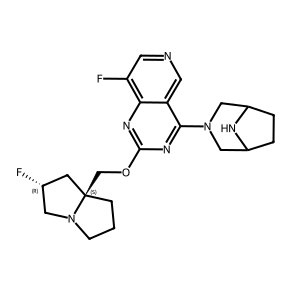 Fc1cncc2c(N3CC4CCC(C3)N4)nc(OC[C@@]34CCCN3C[C@H](F)C4)nc12